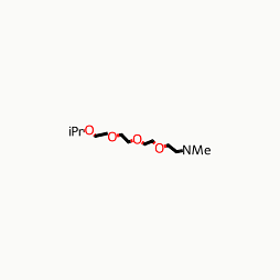 CNCCOCCOCCOCCOC(C)C